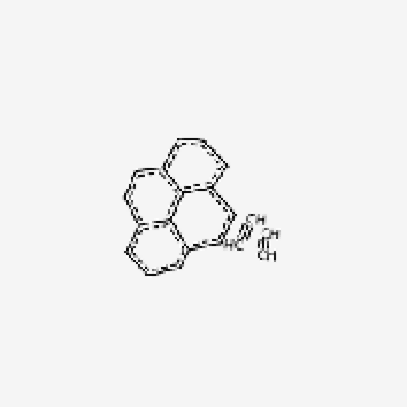 C#C.C#C.c1cc2ccc3cccc4ccc(c1)c2c34